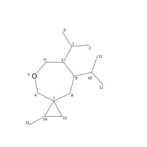 CC(C)C1COCC2(CC1C(C)C)CC2C